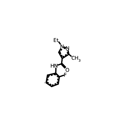 CCn1cc(C(=O)Nc2c[c]ccc2F)c(C)n1